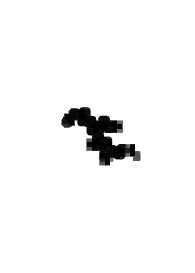 COc1ccc(CC(=O)Nc2ccc(C(=O)N(CC(=O)O)Cc3ccc(OC(=O)c4cccc(N5CCCC5)c4)cc3)cc2)c(C(F)(F)F)c1